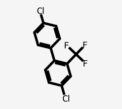 FC(F)(F)c1cc(Cl)ccc1-c1ccc(Cl)cc1